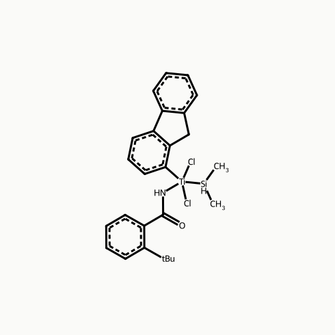 C[SiH](C)[Ti]([Cl])([Cl])([NH]C(=O)c1ccccc1C(C)(C)C)[c]1cccc2c1Cc1ccccc1-2